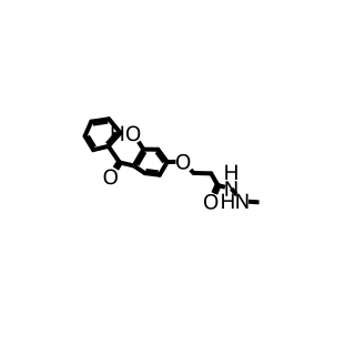 CNNC(=O)CCOc1ccc(C(=O)c2ccccc2)c(O)c1